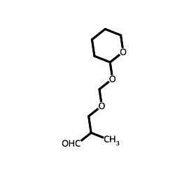 CC(C=O)COCOC1CCCCO1